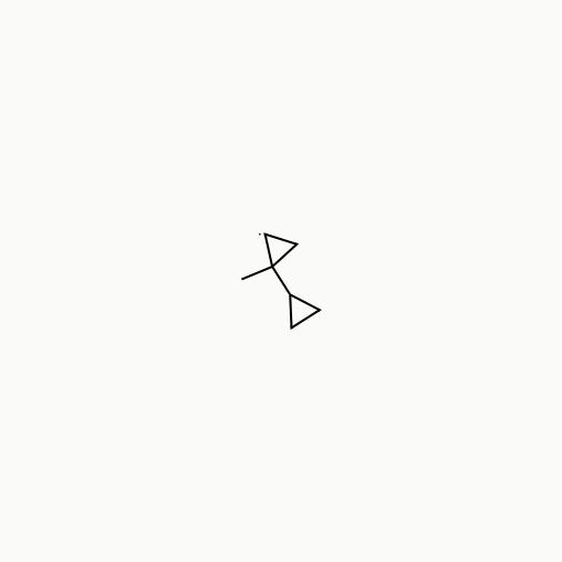 CC1(C2CC2)[CH]C1